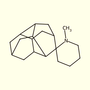 CN1CCCCC12C1CC3C4CC5CC3C2C(C5)C4C1